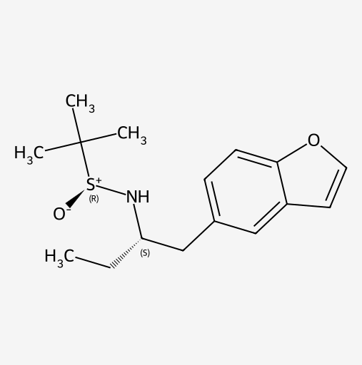 CC[C@@H](Cc1ccc2occc2c1)N[S@@+]([O-])C(C)(C)C